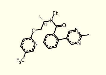 CCN(C(=O)c1ccccc1-c1cnc(C)nc1)[C@@H](C)COc1ccc(C(F)(F)F)cn1